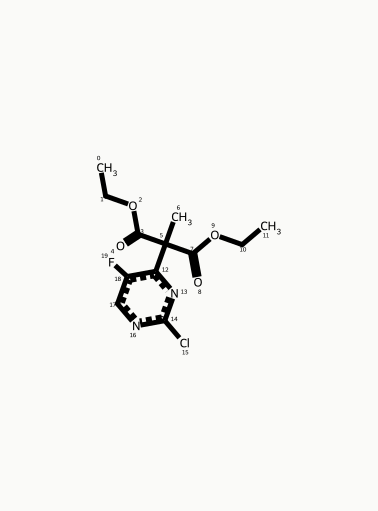 CCOC(=O)C(C)(C(=O)OCC)c1nc(Cl)ncc1F